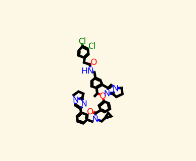 CC(Oc1cccc(C(=O)N(Cc2cccc(-c3cn4c(n3)CCC4)c2)CC2CC2)c1)c1ccc(CNC(=O)Cc2ccc(Cl)c(Cl)c2)cc1-c1cn2c(n1)CCC2